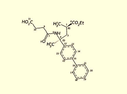 CCOC(=O)[C@H](C)C[C@](C)(NC(=O)CCC(=O)O)c1ccc(-c2ccccc2)cc1